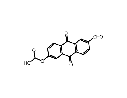 O=Cc1ccc2c(c1)C(=O)c1ccc(OC(O)O)cc1C2=O